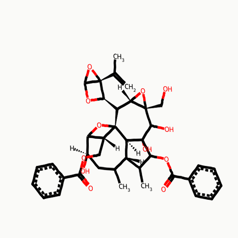 C=C(C)[C@]12OC1O[C@@H]2C1[C@@H]2O[C@]2(CO)C(O)C2(O)C(OC(=O)c3ccccc3)C(C)[C@@H]3C(C)C[C@@H](O)C4O[C@@]1([C@@H]4COC(=O)c1ccccc1)[C@H]32